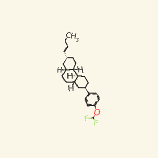 CCC=C[C@@H]1CC[C@H]2[C@H](CC[C@H]3C[C@H](c4ccc(OC(F)F)cc4)CC[C@@H]32)C1